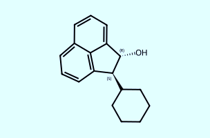 O[C@H]1c2cccc3cccc(c23)[C@@H]1C1CCCCC1